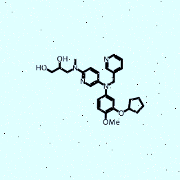 COc1ccc(N(Cc2cccnc2)c2ccc(N(C)CC(O)CO)nc2)cc1OC1CCCC1